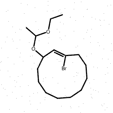 CCOC(C)OC1/C=C(\Br)CCCCCCCCC1